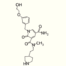 CN(CCC1CCNCC1)C(=O)c1cc(C(N)=O)cn(Cc2cccc(OCCO)c2)c1=O